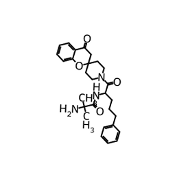 CC(C)(N)C(=O)NC(CCCc1ccccc1)C(=O)N1CCC2(CC1)CC(=O)c1ccccc1O2